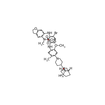 COc1cc(N2CCC(N3C[C@H]4CC[C@@H](C3)N4C)CC2)c(C)cc1Nc1ncc(Br)c(Nc2cc3c(cc2N(C)S(C)(=O)=O)CCO3)n1